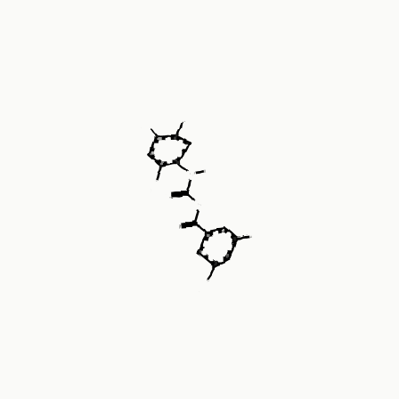 Cc1cc(C)cc(C(=O)NC(=S)N(O)c2cc(C)c(C)cc2C)c1